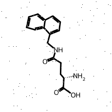 N[C@@H](CCC(=O)NCc1cccc2ccccc12)C(=O)O